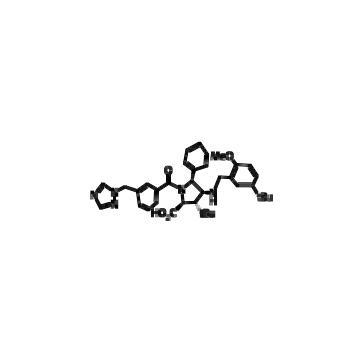 COc1ccc(C(C)(C)C)cc1CN[C@H]1[C@H](C(C)(C)C)[C@@H](C(=O)O)N(C(=O)c2cccc(Cn3cncn3)c2)[C@H]1c1ccccc1